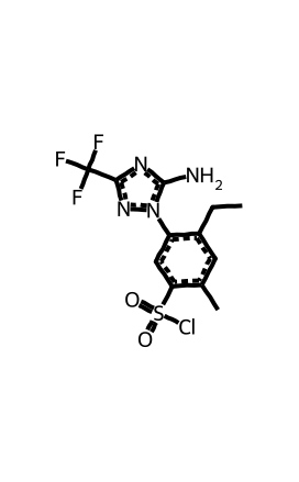 CCc1cc(C)c(S(=O)(=O)Cl)cc1-n1nc(C(F)(F)F)nc1N